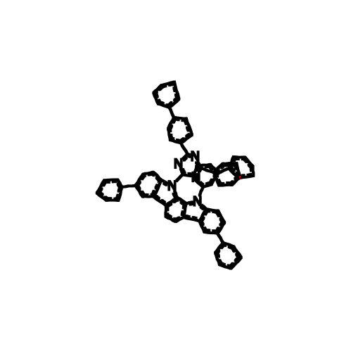 c1ccc(-c2ccc(-c3nc(-c4ccccc4)nc(-n4c5ccc(-c6ccccc6)cc5c5ccc6c7cc(-c8ccccc8)ccc7n(-c7cccc(-c8ccccc8)c7)c6c54)n3)cc2)cc1